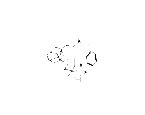 CC(C)(NS(=O)(=O)c1ccccc1)C(=O)NC12CC3CC(CC(CCC(=O)O)(C3)C1)C2